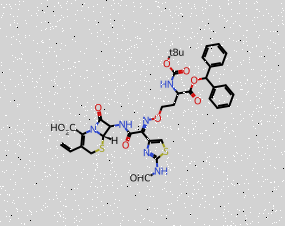 C=CC1=C(C(=O)O)N2C(=O)C(NC(=O)C(=NOCCC(NC(=O)OC(C)(C)C)C(=O)OC(c3ccccc3)c3ccccc3)c3csc(NC=O)n3)[C@@H]2SC1